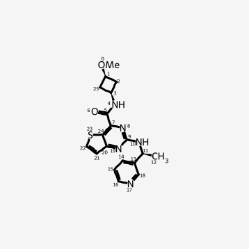 CO[C@H]1C[C@@H](NC(=O)c2nc(N[C@@H](C)c3cccnc3)nc3ccsc23)C1